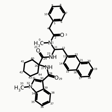 CN(C(=O)Cc1ccccc1)C(Cc1ccc2ccccc2c1)NC(=O)C1(NC(=O)c2cn(C)c3ccccc23)CCCCC1